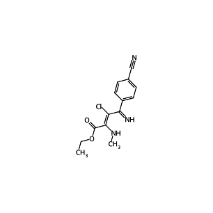 CCOC(=O)/C(NC)=C(\Cl)C(=N)c1ccc(C#N)cc1